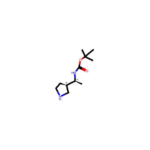 C[C@H](NC(=O)OC(C)(C)C)[C@@H]1CCNC1